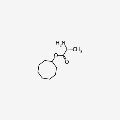 CC(N)C(=O)OC1CCCCCCC1